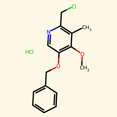 COc1c(OCc2ccccc2)cnc(CCl)c1C.Cl